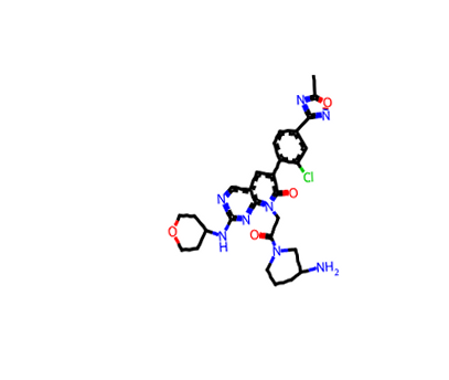 Cc1nc(-c2ccc(-c3cc4cnc(NC5CCOCC5)nc4n(CC(=O)N4CCCC(N)C4)c3=O)c(Cl)c2)no1